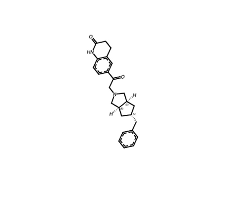 O=C1CCc2cc(C(=O)CN3C[C@H]4C[C@H](Cc5ccccc5)C[C@H]4C3)ccc2N1